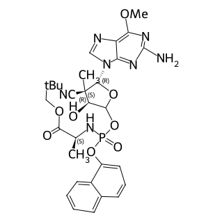 COc1nc(N)nc2c1ncn2[C@@H]1OC(OP(=O)(N[C@@H](C)C(=O)OCC(C)(C)C)Oc2cccc3ccccc23)[C@@H](O)[C@@]1(C)C#N